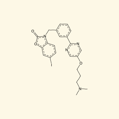 CN(C)CCCOc1cnc(-c2cccc(Cn3c(=O)oc4cc(I)ccc43)c2)nc1